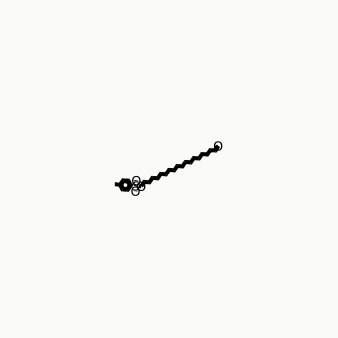 Cc1ccc(S(=O)(=O)OCCCCCCCCCCCCCCCCCC=O)cc1